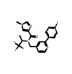 CC(N(Cc1ccnc(-c2ccc(F)cc2)c1)C(=O)c1cn(C)cn1)C(F)(F)F